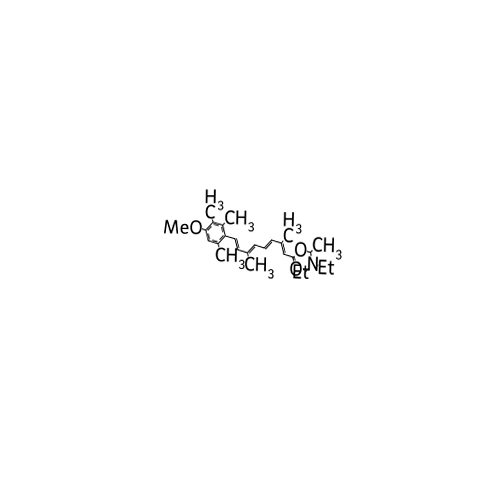 CCN(CC)C(C)OC(=O)C=C(C)C=CC=C(C)C=Cc1c(C)cc(OC)c(C)c1C